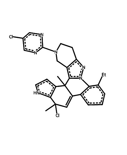 CCc1cccc2c1-n1nc3c(c1C1(C)C2=CC(C)(Cl)c2[nH]ccc21)CN(c1ncc(Cl)cn1)CC3